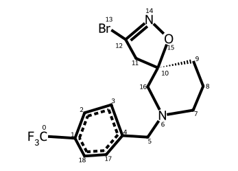 FC(F)(F)c1ccc(CN2CCC[C@@]3(CC(Br)=NO3)C2)cc1